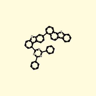 c1ccc(-c2nc(-c3ccccc3)nc(-c3cccc4oc5cc(-c6cccc7c6ccc6c8ccccc8sc76)ccc5c34)n2)cc1